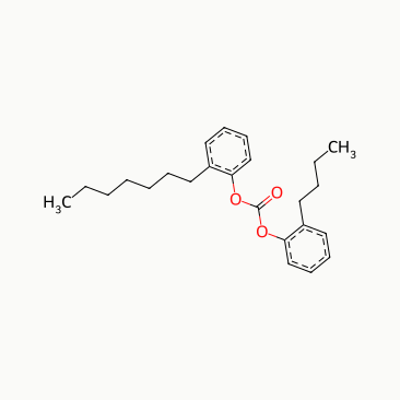 CCCCCCCc1ccccc1OC(=O)Oc1ccccc1CCCC